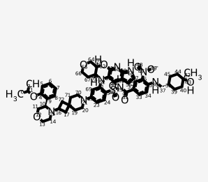 CC(C)Oc1ccccc1[C@@H]1COCCN1C1CC2(CCN(c3ccc(S(=O)(=O)NC(=O)c4ccc(NC[C@H]5CC[C@](C)(O)CC5)c([N+](=O)[O-])c4)c(N4c5cc6cc[nH]c6nc5O[C@@H]5COCC[C@H]54)c3)CC2)C1